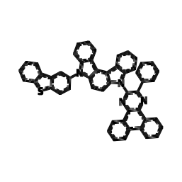 c1ccc(-c2nc3c4ccccc4c4ccccc4c3nc2-n2c3ccccc3c3c4c5ccccc5n(-c5ccc6sc7ccccc7c6c5)c4ccc32)cc1